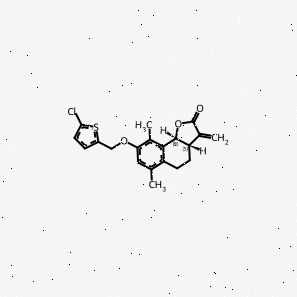 C=C1C(=O)O[C@H]2c3c(C)c(OCc4ccc(Cl)s4)cc(C)c3CC[C@@H]12